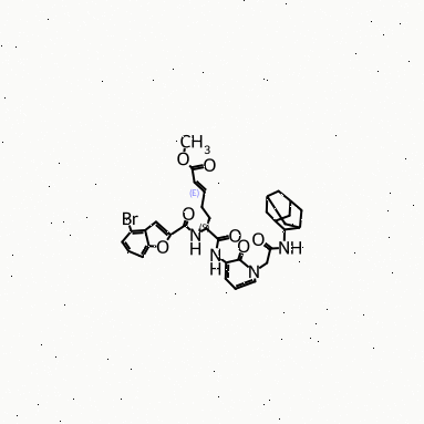 COC(=O)/C=C/CC[C@H](NC(=O)c1cc2c(Br)cccc2o1)C(=O)Nc1cccn(CC(=O)NC2C3CC4CC(C3)CC2C4)c1=O